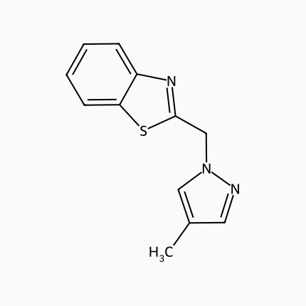 Cc1cnn(Cc2nc3ccccc3s2)c1